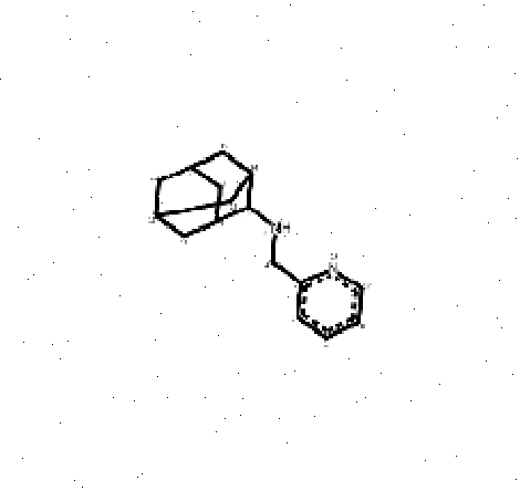 c1ccc(CNC2C3CC4CC(C3)CC2C4)nc1